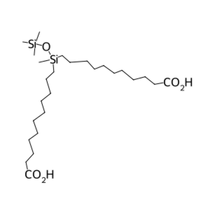 C[Si](C)(C)O[Si](C)(CCCCCCCCCCC(=O)O)CCCCCCCCCCC(=O)O